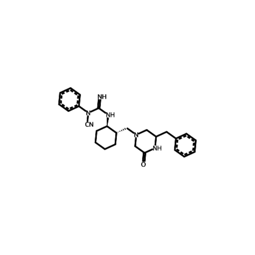 N#CN(C(=N)N[C@@H]1CCCC[C@H]1CN1CC(=O)NC(Cc2ccccc2)C1)c1ccccc1